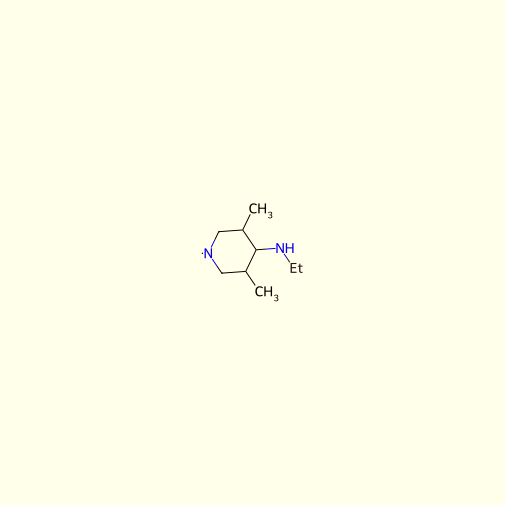 CCNC1C(C)C[N]CC1C